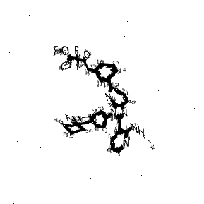 Nc1ncccc1-c1nc2ccc(-c3cccc(CC(=O)C(F)(F)C(=O)OF)c3)nc2n1-c1ccc(C2(N)CCC2)cc1